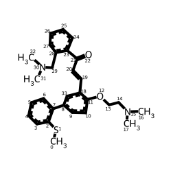 CSc1ccccc1-c1ccc(OCCN(C)C)c(C=CC(=O)c2ccccc2CN(C)C)c1